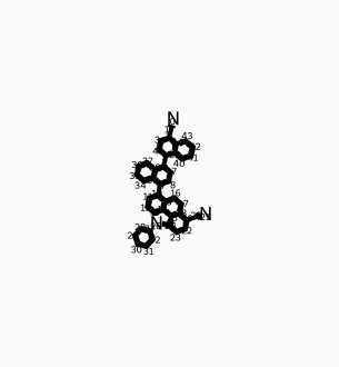 N#Cc1ccc(-c2ccc(-c3ccc4c5c3ccc3c(C#N)ccc(c35)n4-c3ccccc3)c3ccccc23)c2ccccc12